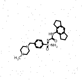 CN1CCN(Cc2ccc([S@](N)(=O)=NC(=O)Nc3c4c(cc5c3CCC5)CCC4)cc2)CC1